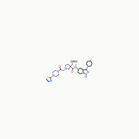 COCC1(C(=O)N(C)c2ccc3[nH]nc(-c4ccc(F)cc4)c3c2)CCN(CC(=O)N2CCN(c3nccs3)CC2)C1